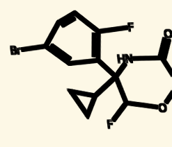 O=C1COC(F)C(c2cc(Br)ccc2F)(C2CC2)N1